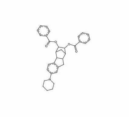 O=C(OC1C2CC(C1OC(=O)c1ccccc1)C1c3ccc(N4CCCCC4)cc3CC21)c1ccccc1